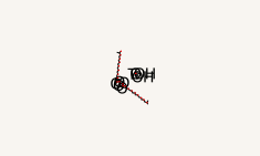 CC(C)CCCCCCCCCCCCCCC(=O)OC(=O)C(=O)C(=O)CCCCCCCCCCCCCCC(C)C.[O]=[Ti]([OH])[OH]